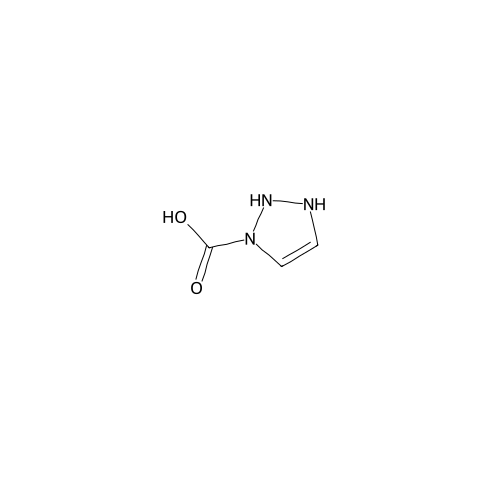 O=C(O)N1C=CNN1